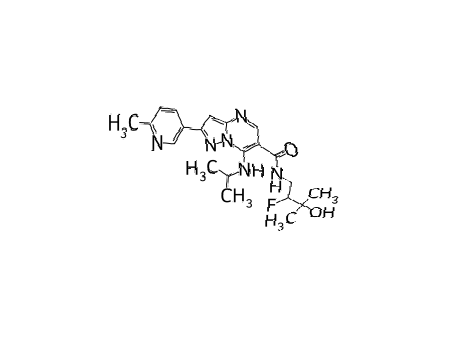 Cc1ccc(-c2cc3ncc(C(=O)NCC(F)C(C)(C)O)c(NC(C)C)n3n2)cn1